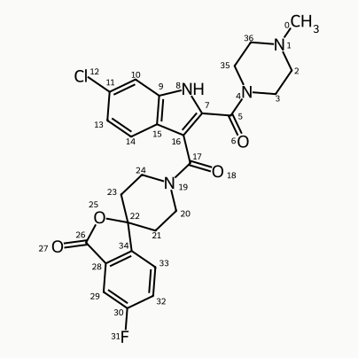 CN1CCN(C(=O)c2[nH]c3cc(Cl)ccc3c2C(=O)N2CCC3(CC2)OC(=O)c2cc(F)ccc23)CC1